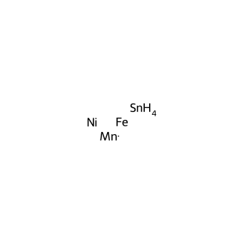 [Fe].[Mn].[Ni].[SnH4]